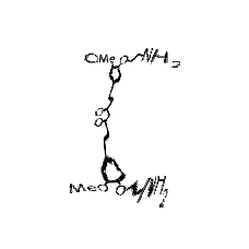 COc1cc(C=CC(=O)CC(=O)C=Cc2ccc(OCCN)c(OC)c2)ccc1OCCN